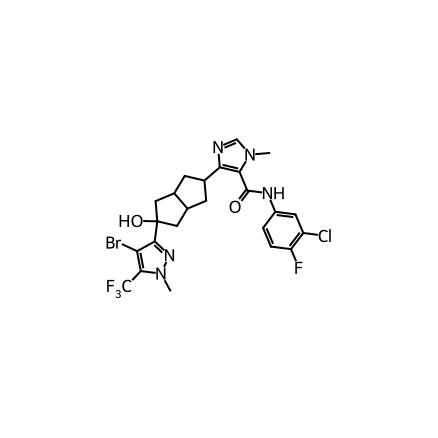 Cn1cnc(C2CC3CC(O)(c4nn(C)c(C(F)(F)F)c4Br)CC3C2)c1C(=O)Nc1ccc(F)c(Cl)c1